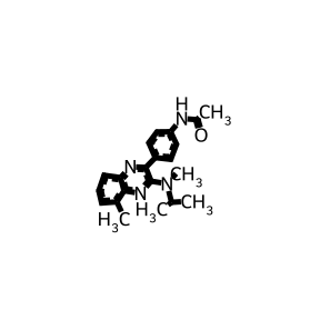 CC(=O)Nc1ccc(-c2nc3cccc(C)c3nc2N(C)C(C)C)cc1